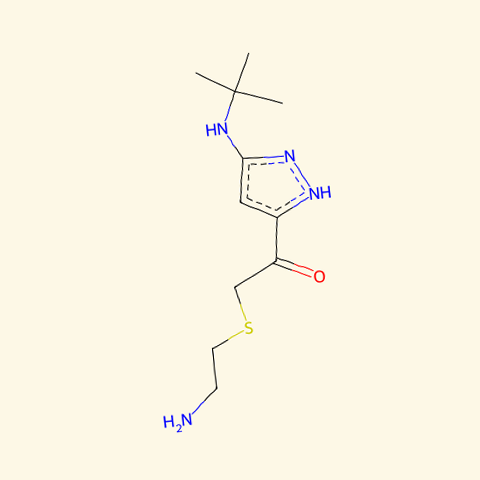 CC(C)(C)Nc1cc(C(=O)CSCCN)[nH]n1